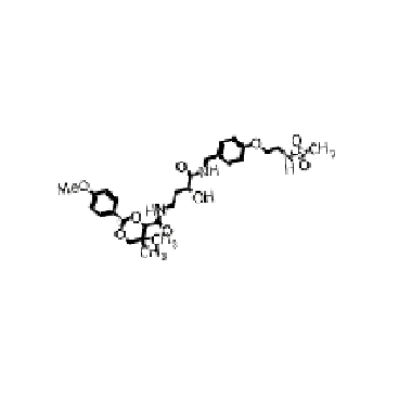 COc1ccc([C@@H]2OCC(C)(C)C(C(=O)NCCC(O)C(=O)NCc3ccc(OCCNS(C)(=O)=O)cc3)O2)cc1